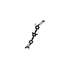 C=COCOCc1ccc(C#Cc2c(C)cc(C#CC3CCC(COC(=O)C=C)CC3)cc2C)cc1F